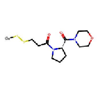 CC(C)(C)SSCCC(=O)N1CCC[C@H]1C(=O)N1CCOCC1